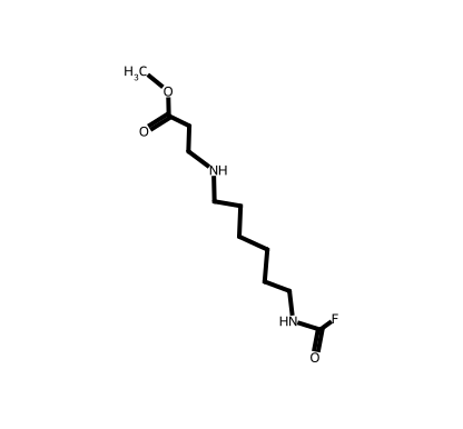 COC(=O)CCNCCCCCCNC(=O)F